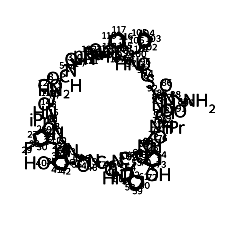 CCCC[C@H]1C(=O)N(C)CC(=O)N[C@@H](CC(=O)O)C(=O)N[C@@H](C(C)C)C(=O)N(C)[C@@H](Cc2cccc(F)c2)C(=O)N[C@@H](Cc2ccc(O)cc2)C(=O)N(C)CC(=O)NC[C@@H](Cc2c[nH]c3ccccc23)C(=O)N[C@H](Cc2ccc(O)cc2)C(=O)N[C@@H](CC(C)C)C(=O)N[C@H](C(=O)NCC(N)=O)CSCC(=O)N[C@@H](CCc2ccccc2)C(=O)N(C)[C@@H](Cc2ccccc2)C(=O)N1C